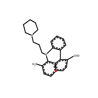 Nc1cccnc1N(CCCN1CCCCC1)c1ccccc1-c1ccccc1C=O